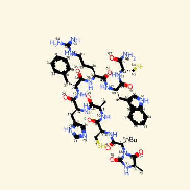 CCCC[C@@H](C(=O)N[C@@H](CS)C(=O)N[C@H](C)C(=O)N[C@@H](Cc1cnc[nH]1)C(=O)N[C@H](Cc1ccccc1)C(=O)N[C@@H](CCCNC(=N)N)C(=O)N[C@@H](Cc1c[nH]c2ccccc12)C(=O)N[C@@H](CS)C(N)=O)N1C(=O)N[C@H](C)C1=O